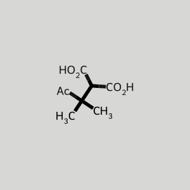 CC(=O)C(C)(C)C(C(=O)O)C(=O)O